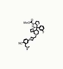 COC(=O)N[C@H]1CCC[C@@H]1[C@](CN1CCC1)(c1cccc(F)c1)C1CCN(CC2CN(c3ccc(C#N)c(CN(C)C)c3)C2)CC1